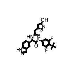 Cn1ncc2cc(C(NC(=O)Cc3cc(O)no3)C(=O)Nc3cc(F)c(C(C)(C)C)c(F)c3)ccc21